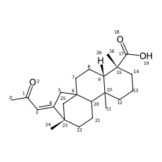 CC(=O)/C=C1\CC23CC[C@H]4C(C)(CCC[C@@]4(C)C(=O)O)C2CC[C@@]1(C)C3